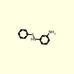 Nc1cccc(NSc2ccccc2)c1